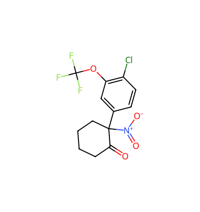 O=C1CCCCC1(c1ccc(Cl)c(OC(F)(F)F)c1)[N+](=O)[O-]